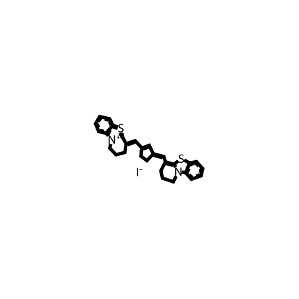 C1=C(C=C2CCC[n+]3c2sc2ccccc23)CCC1=CC1=C2Sc3ccccc3N2CCC1.[I-]